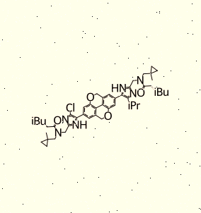 CC[C@H](C)CC(=O)N(Cc1nc(Cl)c(-c2cc3c4c(c2)OCc2cc(-c5[nH]c(CN(CC6(C)CC6)C(=O)C[C@@H](C)CC)nc5C(C)C)cc(c2-4)OC3)[nH]1)CC1(C)CC1